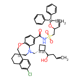 C=CCC(O)[C@@H]1CC[C@H]1CN1C[C@@]2(CCCc3cc(Cl)ccc32)COc2ccc(C(=O)NS(=O)(=O)CC(C=C)O[Si](c3ccccc3)(c3ccccc3)C(C)(C)C)cc21